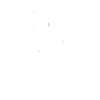 Cc1cc2c3c(c1)N(c1cccc4c1oc1ccccc14)c1c4c(n(-c5ccccc5)c1B3c1c(c3c(n1-c1ccccc1)CCCC3)N2c1ccccc1)CCCC4